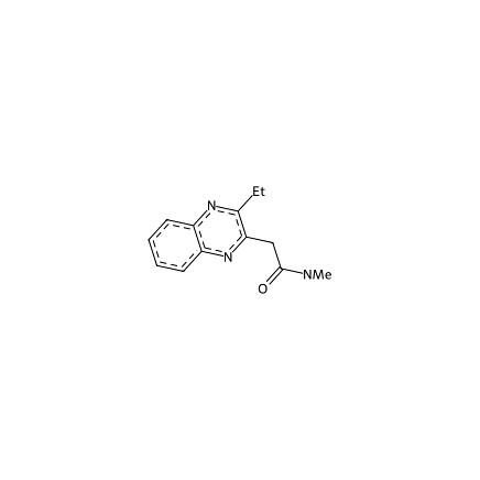 CCc1nc2ccccc2nc1CC(=O)NC